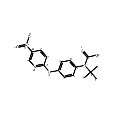 CC(C)(C)N(C(=O)O)c1ccc(Oc2ccc([N+](=O)[O-])cn2)cc1